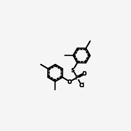 Cc1ccc(OP(=O)(Cl)Sc2ccc(C)cc2C)c(C)c1